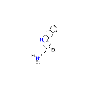 CCc1cc2c(Cc3ccccc3C)ccnc2cc1CCCN(CC)CC